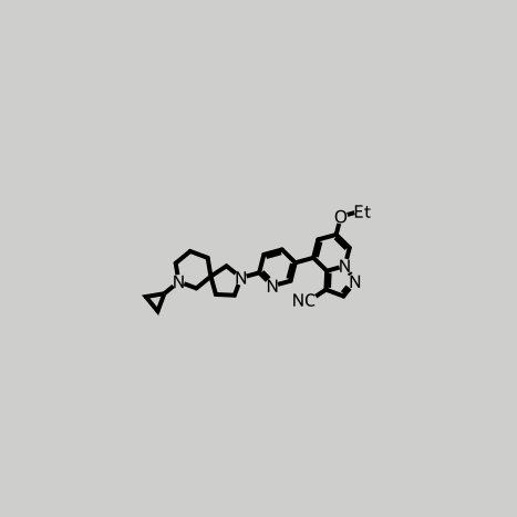 CCOc1cc(-c2ccc(N3CCC4(CCCN(C5CC5)C4)C3)nc2)c2c(C#N)cnn2c1